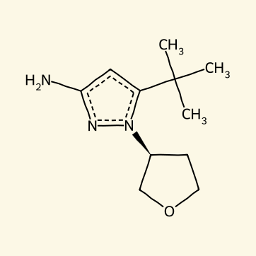 CC(C)(C)c1cc(N)nn1[C@H]1CCOC1